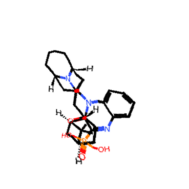 CC1(C)[C@H]2CC[C@@H](CCN3[C@@H]4CCC[C@H]3CC(n3c(=O)c(P(=O)(O)O)nc5ccccc53)C4)[C@@H]1C2